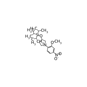 COc1cc([N+](=O)[O-])ccc1N1CCC(O[Si](C(C)C)(C(C)C)C(C)C)C1